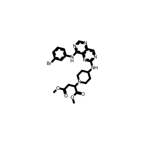 COC(=O)CC(C(=O)OC)N1CCC(Nc2ncc3ncnc(Nc4cccc(Br)c4)c3n2)CC1